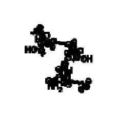 C=C1C[C@@H](CO)N(C(=O)c2cc(OC)c(OCCCCCOc3cc(NC(=O)OCC4(SSCC)CCC4)c(C(=O)N4CC(C)(C)C[C@H]4CO)cc3OC)cc2NC(=O)OCc2ccc(NC(=O)[C@H](CCCNC(N)=O)NC(=O)[C@@H](NC(=O)CCCCCN3C(=O)C=CC3=O)C(C)C)cc2)C1